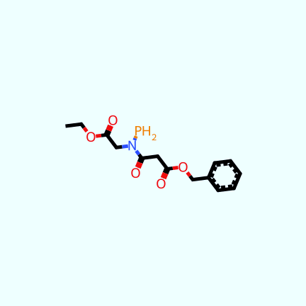 CCOC(=O)CN(P)C(=O)CC(=O)OCc1ccccc1